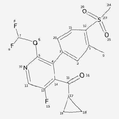 Cc1cc(-c2c(OC(F)F)ncc(F)c2C(=O)C2CC2)ccc1S(C)(=O)=O